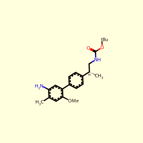 COc1cc(C)c(N)cc1-c1ccc([C@@H](C)CNC(=O)OC(C)(C)C)cc1